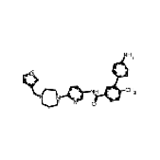 Cc1ccc(C(=O)Nc2ccc(N3CCCN(Cc4ccsc4)CC3)nc2)cc1-c1ccc(N)cc1